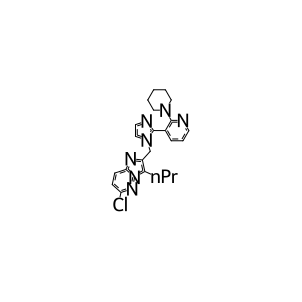 CCCc1c(Cn2ccnc2-c2cccnc2N2CCCCC2)nc2ccc(Cl)nn12